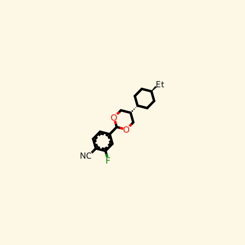 CC[C@H]1CC[C@H](C2COC(c3ccc(C#N)c(F)c3)OC2)CC1